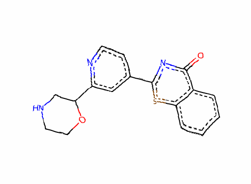 O=c1nc(-c2ccnc(C3CNCCO3)c2)sc2ccccc12